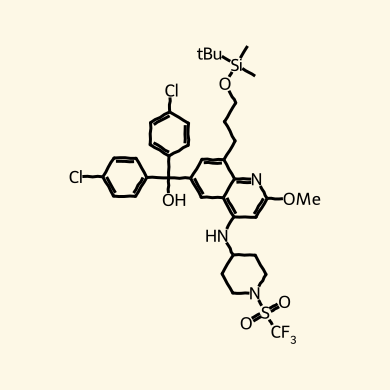 COc1cc(NC2CCN(S(=O)(=O)C(F)(F)F)CC2)c2cc(C(O)(c3ccc(Cl)cc3)c3ccc(Cl)cc3)cc(CCCO[Si](C)(C)C(C)(C)C)c2n1